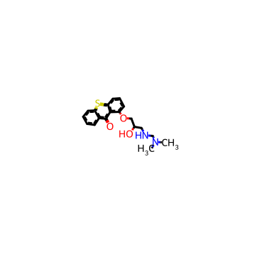 CN(C)CNCC(O)COc1cccc2sc3ccccc3c(=O)c12